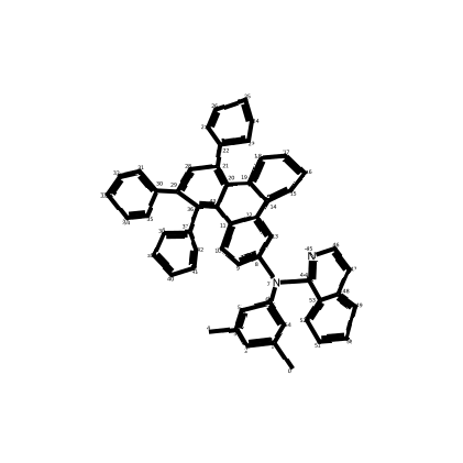 Cc1cc(C)cc(N(c2ccc3c(c2)c2ccccc2c2c(-c4ccccc4)cc(-c4ccccc4)c(-c4ccccc4)c32)c2nccc3ccccc23)c1